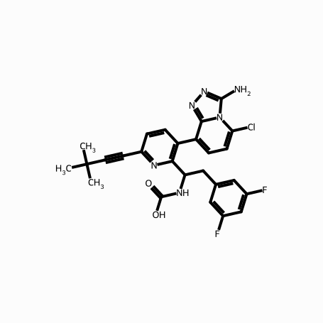 CC(C)(C)C#Cc1ccc(-c2ccc(Cl)n3c(N)nnc23)c(C(Cc2cc(F)cc(F)c2)NC(=O)O)n1